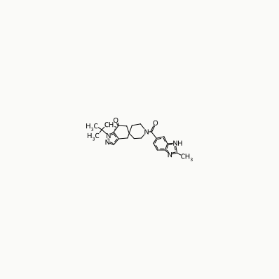 Cc1nc2ccc(C(=O)N3CCC4(CC3)CC(=O)c3c(cnn3C(C)(C)C)C4)cc2[nH]1